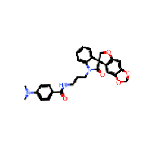 CN(C)c1ccc(C(=O)NCCCN2C(=O)C3(COc4cc5c(cc43)OCO5)c3ccccc32)cc1